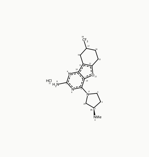 CN[C@@H]1CCN(c2nc(N)nc3c4c(oc23)CCC(C(F)(F)F)C4)C1.Cl